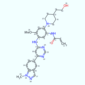 C=CC(=O)Nc1cc(Nc2cc(-c3ccc4c(cnn4C)c3)ncn2)c(OC)cc1N1CCC(CCO)CC1